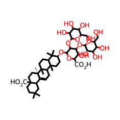 CC1(C)CCC2(C(=O)O)CC[C@]3(C)C(=CCC4C5(C)CC[C@H](OC6OC(C(=O)O)C(O)C(OC7OC(CO)C(O)C(O)C7O)C6OC6OC(CO)C(O)C(O)C6O)C(C)(C)C5CCC43C)C2C1